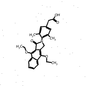 CCOc1c2c(c(OCC)c3ccccc13)C(=O)N(c1c(C)cc(CC(=O)O)cc1C)C2